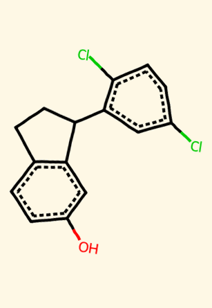 Oc1ccc2c(c1)C(c1cc(Cl)ccc1Cl)CC2